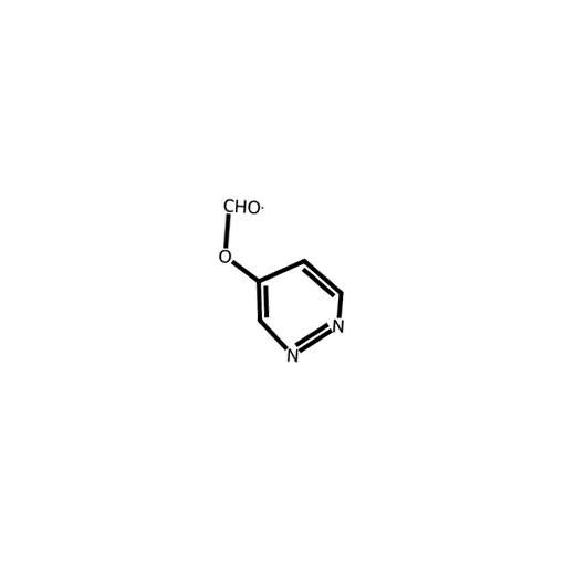 O=[C]Oc1ccnnc1